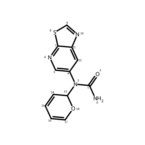 NC(=O)N(c1cnc2scnc2c1)C1C=CC=CO1